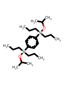 CCC[Si](CCC)(OC(C)C)c1ccc([Si](CCC)(CCC)OC(C)C)cc1